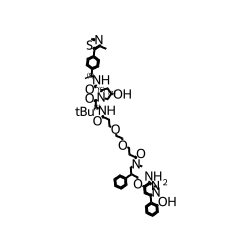 Cc1ncsc1-c1ccc([C@H](C)NC(=O)[C@@H]2C[C@@H](O)CN2C(=O)[C@@H](NC(=O)CCOCCOCCC(=O)N(C)CC(COc2cc(-c3ccccc3O)nnc2N)c2ccccc2)C(C)(C)C)cc1